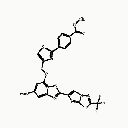 COc1cc(OCc2csc(-c3ccc(C(=O)OC(C)(C)C)cc3)n2)c2sc(-c3cn4nc(C(C)(F)F)sc4n3)nc2c1